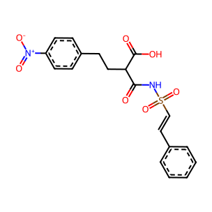 O=C(O)C(CCc1ccc([N+](=O)[O-])cc1)C(=O)NS(=O)(=O)C=Cc1ccccc1